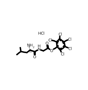 CC(C)C[C@H](N)C(=O)NCC(=O)Oc1c(Cl)c(Cl)c(Cl)c(Cl)c1Cl.Cl